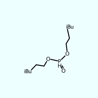 CCC(C)CCO[PH](=O)OCCC(C)CC